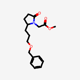 COC(=O)CN1C(=O)CCC1CCCOCc1ccccc1